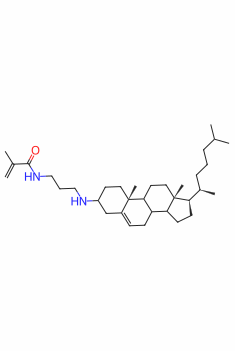 C=C(C)C(=O)NCCCNC1CC[C@@]2(C)C(=CCC3C2CC[C@@]2(C)C3CC[C@@H]2[C@H](C)CCCC(C)C)C1